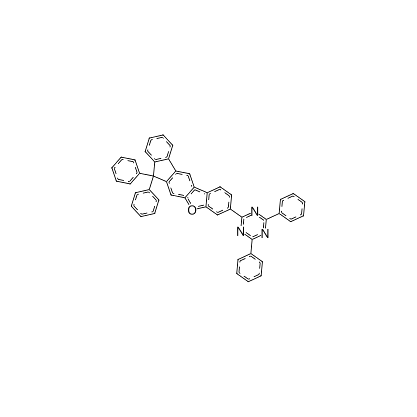 c1ccc(-c2nc(-c3ccccc3)nc(-c3ccc4c(c3)oc3cc5c(cc34)-c3ccccc3C5(c3ccccc3)c3ccccc3)n2)cc1